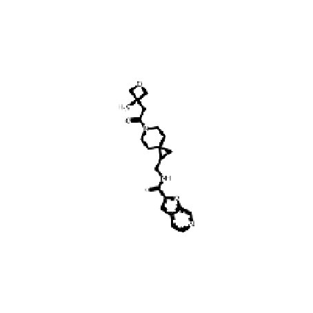 CC1(CC(=O)N2CCC3(CC2)CC3CNC(=O)c2cc3ccncc3o2)COC1